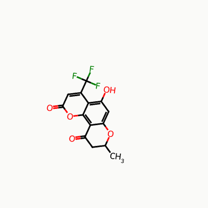 CC1CC(=O)c2c(cc(O)c3c(C(F)(F)F)cc(=O)oc23)O1